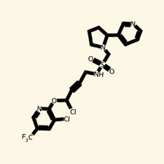 O=S(=O)(CN1CCCC1c1cccnc1)NCC#CC(Cl)Oc1ncc(C(F)(F)F)cc1Cl